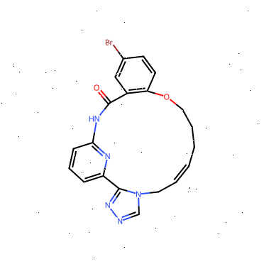 O=C1Nc2cccc(n2)-c2nncn2C/C=C\CCCOc2ccc(Br)cc21